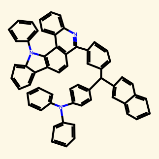 c1ccc(N(c2ccccc2)c2ccc(C(c3cccc(-c4nc5ccccc5c5c4ccc4c6ccccc6n(-c6ccccc6)c45)c3)c3ccc4ccccc4c3)cc2)cc1